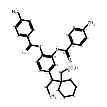 Cc1ccc(C(=O)Oc2ccc(C(CN)C3(CC(=O)O)CCCCC3)cc2OC(=O)c2ccc(C)cc2)cc1